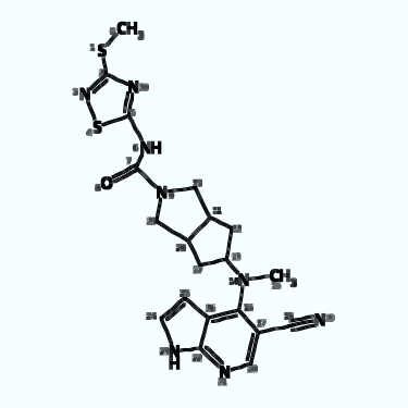 CSc1nsc(NC(=O)N2CC3CC(N(C)c4c(C#N)cnc5[nH]ccc45)CC3C2)n1